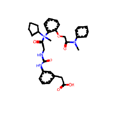 CN(C(=O)COc1ccccc1[N+](C)(C(=O)CNC(=O)Nc1cccc(CC(=O)O)c1)C1CCCC1)c1ccccc1